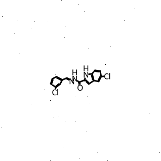 O=C(NN=Cc1cccc(Cl)c1)c1cc2cc(Cl)ccc2[nH]1